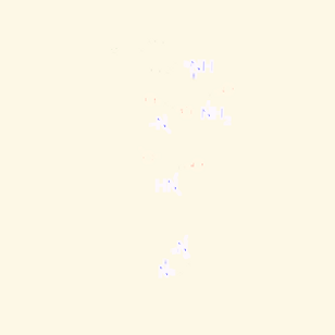 NC(=O)c1[nH]c2ccc(Br)cc2c1S(=O)(=O)N1CCOC(C(=O)NCCCn2ccnc2)C1